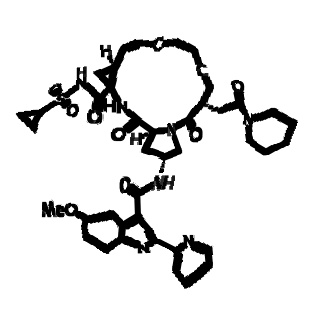 COc1ccc2nc(-c3ccccn3)cc(C(=O)N[C@@H]3C[C@H]4C(=O)N[C@]5(C(=O)NS(=O)(=O)C6CC6)C[C@H]5/C=C\CCCCC[C@H](CC(=O)N5CCCCC5)C(=O)N4C3)c2c1